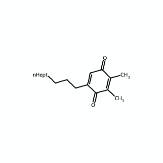 CCCCCCCCCCC1=CC(=O)C(C)=C(C)C1=O